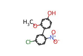 COc1cc(O)ccc1-c1cc(Cl)ccc1[N+](=O)[O-]